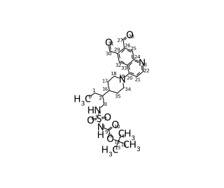 CCC(CNS(=O)(=O)NC(=O)OC(C)(C)C)C1CCN(c2ccnc3cc(C=O)c(C=O)cc23)CC1